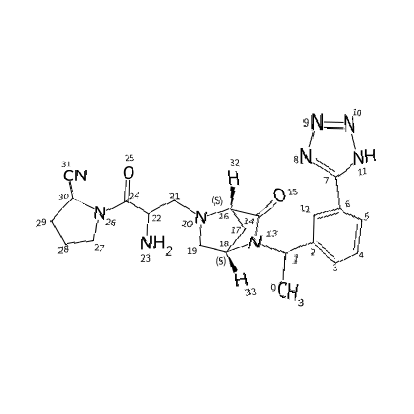 CC(c1cccc(-c2nnn[nH]2)c1)N1C(=O)[C@@H]2C[C@H]1CN2CC(N)C(=O)N1CCCC1C#N